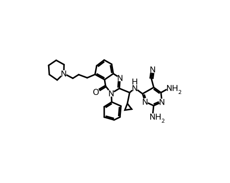 N#Cc1c(N)nc(N)nc1NC(c1nc2cccc(CCCN3CCCCC3)c2c(=O)n1-c1ccccc1)C1CC1